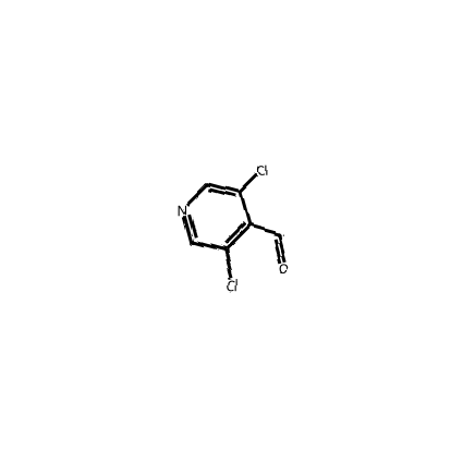 O=[C]c1c(Cl)cncc1Cl